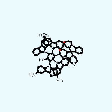 Cc1ccc2c(c1)c1ccccc1n2-c1c(C#N)c(-n2c3ccccc3c3cc(C)ccc32)c(-n2c3ccccc3c3cc(C)ccc32)c(-c2ccc3c(c2)-c2cnccc2C32c3ccccc3-c3ccccc32)c1-n1c2ccccc2c2cc(C)ccc21